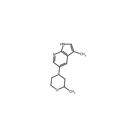 Cc1c[nH]c2ncc(N3CCOC(C)C3)cc12